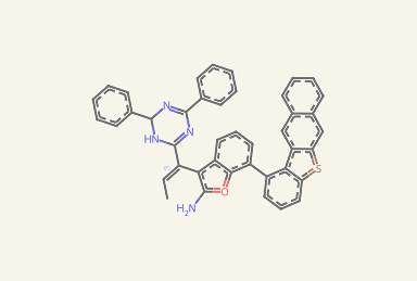 C/C=C(/C1=NC(c2ccccc2)=NC(c2ccccc2)N1)c1c(N)oc2c(-c3cccc4sc5cc6ccccc6cc5c34)cccc12